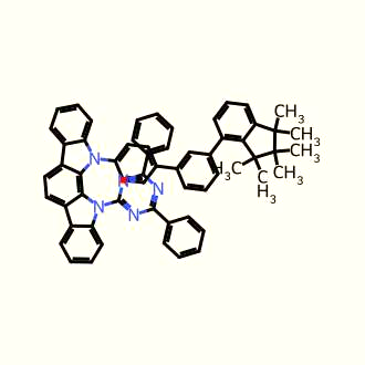 CC1(C)c2cccc(-c3cccc(-c4ccc(-n5c6ccccc6c6ccc7c8ccccc8n(-c8nc(-c9ccccc9)nc(-c9ccccc9)n8)c7c65)cc4)c3)c2C(C)(C)C1(C)C